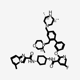 Cc1cccc2nc(C(=O)N[C@H]3CC[C@H](NC(=O)c4cc(F)cnc4Oc4cccc(-c5ccc(CN6C[C@@H](C)N[C@@H](C)C6)cc5CN5CCOC[C@@H]5C)c4)CC3)cn12